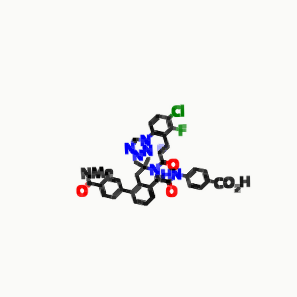 CNC(=O)c1ccc(-c2cccc3c2CC(C)(C)N(C(=O)/C=C/c2c(-n4cnnn4)ccc(Cl)c2F)[C@H]3C(=O)Nc2ccc(C(=O)O)cc2)cc1